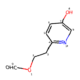 O=COCCc1ccc(O)cn1